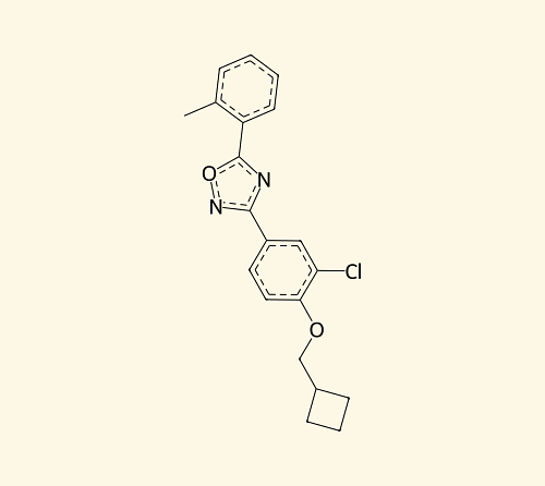 Cc1ccccc1-c1nc(-c2ccc(OCC3CCC3)c(Cl)c2)no1